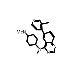 CNC1CCC(N(C)c2ncnc3ccc(-c4ccncc4C)cc23)CC1